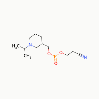 CC(C)N1CCCC(CO[PH](=O)OCCC#N)C1